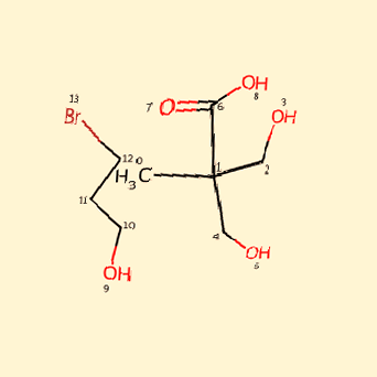 CC(CO)(CO)C(=O)O.OCCCBr